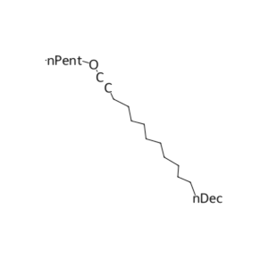 CCCC[CH]OCCCCCCCCCCCCCCCCCCCCCC